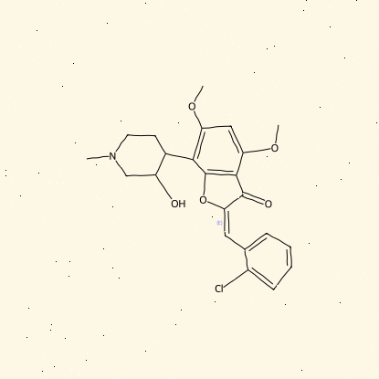 COc1cc(OC)c(C2CCN(C)CC2O)c2c1C(=O)/C(=C\c1ccccc1Cl)O2